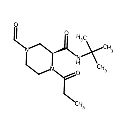 CCC(=O)N1CCN(C=O)C[C@H]1C(=O)NC(C)(C)C